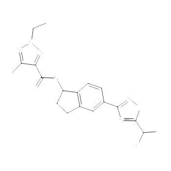 CCn1nc(C)c(C(=O)NC2CCc3cc(-c4noc(C(F)F)n4)ccc32)n1